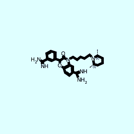 C[C@@H]1CCC[C@H](C)N1CCCCCN1C(=O)C(c2cccc(C(=N)N)c2)Oc2ccc(C(=N)N)cc21